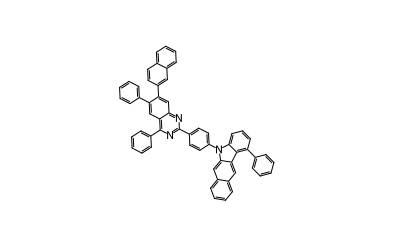 c1ccc(-c2cc3c(-c4ccccc4)nc(-c4ccc(-n5c6cc7ccccc7cc6c6c(-c7ccccc7)cccc65)cc4)nc3cc2-c2ccc3ccccc3c2)cc1